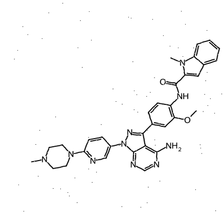 COc1cc(-c2nn(-c3ccc(N4CCN(C)CC4)nc3)c3ncnc(N)c23)ccc1NC(=O)c1cc2ccccc2n1C